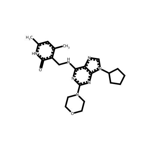 Cc1cc(C)c(CNc2nc(N3CCOCC3)nc3c2ncn3C2CCCC2)c(=O)[nH]1